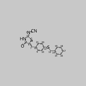 N#CN=C1NC(=O)C(=Cc2ccc(SCc3ccccc3)cc2)S1